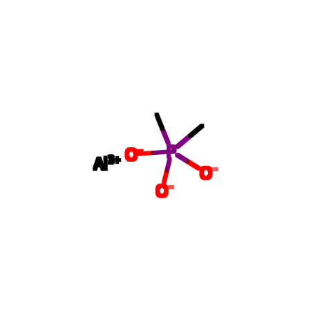 CP(C)([O-])([O-])[O-].[Al+3]